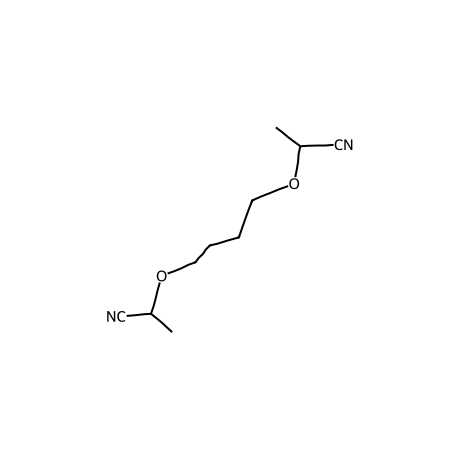 CC(C#N)OCCCCOC(C)C#N